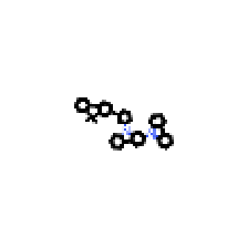 CC1(C)c2ccccc2-c2ccc(-c3cccc(-n4c5ccccc5c5ccc(-n6c7ccccc7c7ccccc76)cc54)c3)cc21